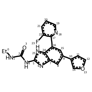 CCNC(=O)Nc1nc2cc(-c3ccoc3)cc(-c3ncccc3F)c2[nH]1